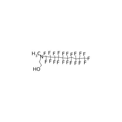 CN(CCO)C(F)(F)C(F)(F)C(F)(F)C(F)(F)C(F)(F)C(F)(F)C(F)(F)C(F)(F)C(F)(F)C(F)(F)F